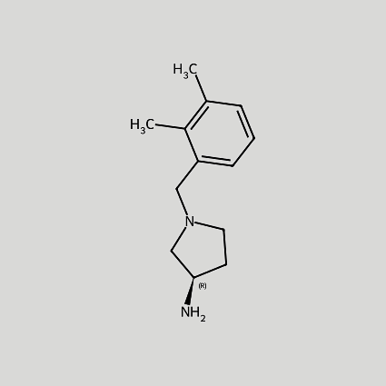 Cc1cccc(CN2CC[C@@H](N)C2)c1C